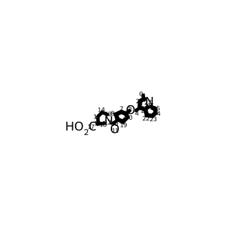 Cc1cc(COc2ccc(C(=O)N3CCCC(C(=O)O)C3)cc2)c2ccccc2n1